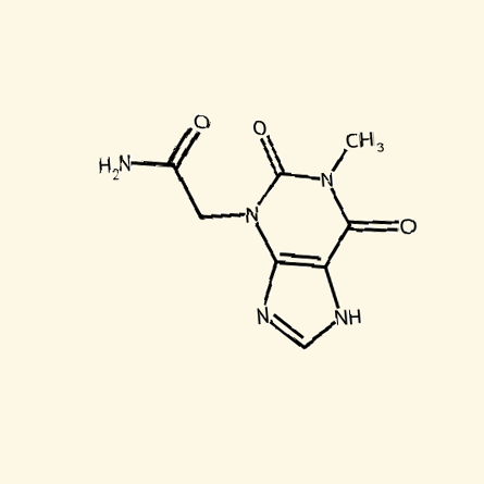 Cn1c(=O)c2[nH]cnc2n(CC(N)=O)c1=O